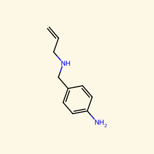 C=CCNCc1ccc(N)cc1